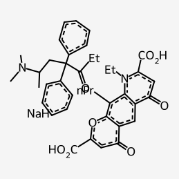 CCC(=O)C(CC(C)N(C)C)(c1ccccc1)c1ccccc1.CCCc1c2oc(C(=O)O)cc(=O)c2cc2c(=O)cc(C(=O)O)n(CC)c12.[NaH]